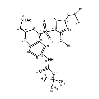 CCOc1nn(CC(F)F)cc1S(=O)(=O)N1C[C@H](CNC(C)=O)Oc2ccc(NC(=O)OC(C)(C)C(F)(F)F)cc21